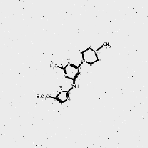 CCOC(=O)c1cnc(Nc2cc(N3CCN(C)CC3)nc(C)n2)s1